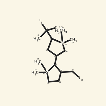 CC(C)(I)C1CC(C2C(CI)CCS2(C)C)CS1(C)C